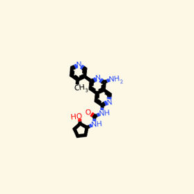 Cc1ccncc1-c1cc2cc(NC(=O)NC3CCCC3O)ncc2c(N)n1